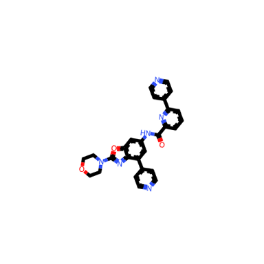 O=C(Nc1cc(-c2ccncc2)c2nc(N3CCOCC3)oc2c1)c1cccc(-c2ccncc2)n1